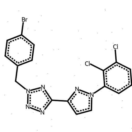 Clc1cccc(-n2ccc(-c3nnn(Cc4ccc(Br)cc4)n3)n2)c1Cl